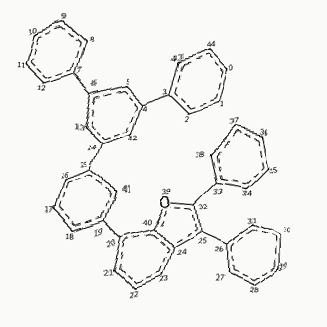 c1ccc(-c2cc(-c3ccccc3)cc(-c3cccc(-c4cccc5c(-c6ccccc6)c(-c6ccccc6)oc45)c3)c2)cc1